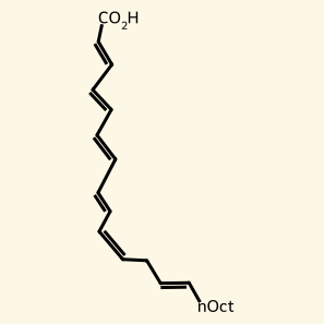 CCCCCCCCC=CC/C=C\C=CC=CC=CC=CC(=O)O